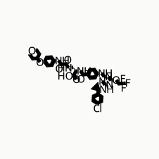 O=C(NC[C@H](NC(=O)c1ccc(Nc2nc(NC3(c4ccc(Cl)cc4)CC3)nc(OCC(F)(F)F)n2)cc1)C(=O)O)C(=O)Nc1ccc(OC2CCOCC2)cc1